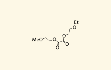 CCOCCOC(=O)C(=O)OCCOC